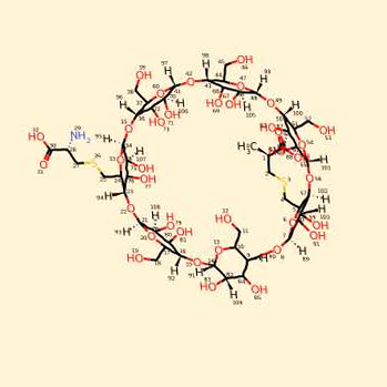 C[C@H](CSCC1O[C@@H]2O[C@@H]3C(CO)O[C@@H](O[C@@H]4C(CO)O[C@@H](O[C@@H]5C(CSC[C@@H](N)C(=O)O)O[C@@H](O[C@@H]6C(CO)O[C@H](O[C@@H]7C(CO)O[C@H](O[C@@H]8C(CO)O[C@H](O[C@H]1[C@H](O)C2O)C(O)[C@H]8O)[C@@H](O)C7O)[C@@H](O)C6O)[C@@H](O)C5O)[C@@H](O)C4O)[C@@H](O)C3O)C(=O)O